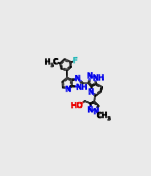 Cc1cc(F)cc(-c2ccnc3[nH]c(-c4n[nH]c5ccc(-c6cn(C)nc6CO)nc45)nc23)c1